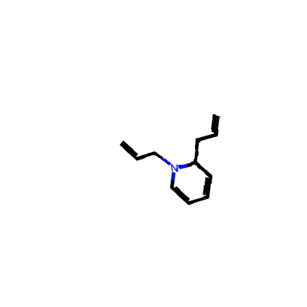 C=CCC1C=CC=CN1CC=C